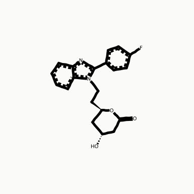 O=C1C[C@H](O)C[C@@H](CCn2c(-c3ccc(F)cc3)nc3ccccc32)O1